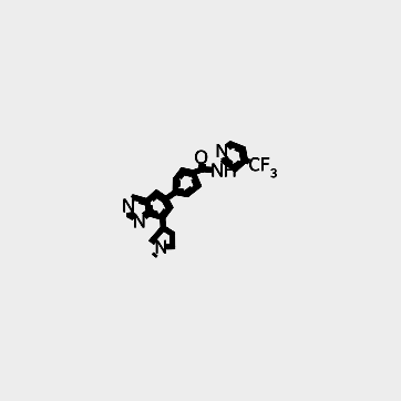 CN1CCC(c2cc(-c3ccc(C(=O)Nc4cc(C(F)(F)F)ccn4)cc3)cc3cncnc23)C1